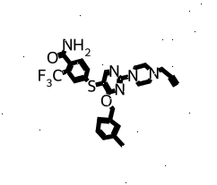 C#CCN1CCN(c2ncc(Sc3ccc(C(N)=O)c(C(F)(F)F)c3)c(OCc3cccc(C)c3)n2)CC1